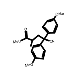 COC(=O)C(C)CC(C#N)(c1ccc(OC)cc1)c1ccc(OC)cc1